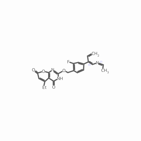 C=C/C(=C\N=C/C)c1ccc(COc2nc3oc(=O)cc(CC)c3c(=O)[nH]2)c(F)c1